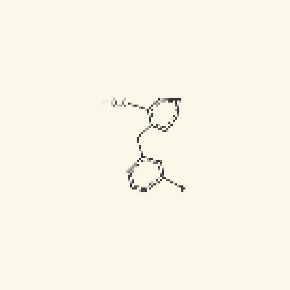 O=C(O)c1ccccc1Cc1cccc(F)c1